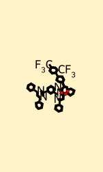 FC(F)(F)c1ccc(-c2ccc3c4ccccc4n(-c4ccc(-c5nc(-c6ccccc6)cc(-c6ccccc6)n5)cc4-c4nc(-c5ccccc5)cc(-c5ccccc5)n4)c3c2)c(C(F)(F)F)c1